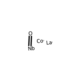 [Co].[La].[O]=[Nb]